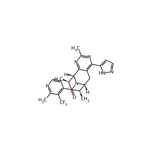 Cc1nc(-c2ccn[nH]2)c2c(n1)[C@H]1[C@H](C)C[C@H](C)[C@@H](C2)N1C(=O)c1ccnc(C)c1C(F)(F)F